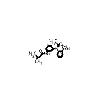 CC(=O)N(c1ccccc1B(O)O)C1CCCC(NC(=O)CC(C)C)C1